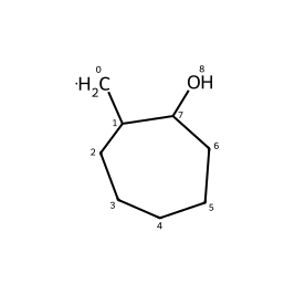 [CH2]C1CCCCCC1O